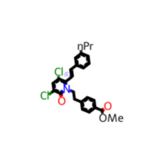 CCCc1cccc(/C=C/c2c(Cl)cc(Cl)c(=O)n2CCc2ccc(C(=O)OC)cc2)c1